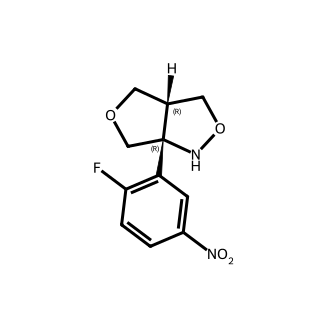 O=[N+]([O-])c1ccc(F)c([C@@]23COC[C@@H]2CON3)c1